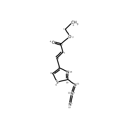 CCOC(=O)C=Cc1csc(N=[N+]=[N-])n1